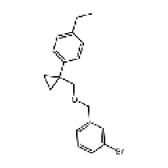 CCc1ccc(C2(COCc3cccc(Br)c3)CC2)cc1